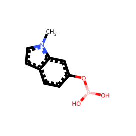 Cn1ccc2ccc(OB(O)O)cc21